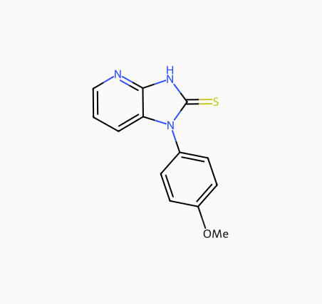 COc1ccc(-n2c(=S)[nH]c3ncccc32)cc1